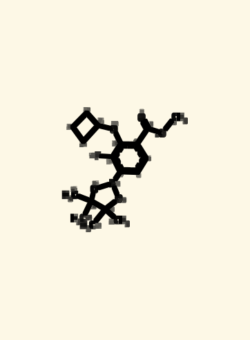 COC(=O)c1ccc(B2OC(C)(C)C(C)(C)O2)c(F)c1OC1CCC1